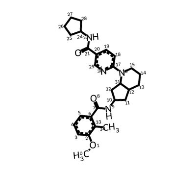 COc1cccc(C(=O)NC2CC3CCCN(c4ccc(C(=O)NC5CCCC5)cn4)C3C2)c1C